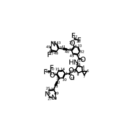 O=C(N[C@H]1CC2(CC2)C[C@@H]1OC(=O)c1ccc(OC(F)F)c(C#Cc2cncnc2)c1)c1ccc(OC(F)F)c(C#Cc2cncc(F)c2)c1